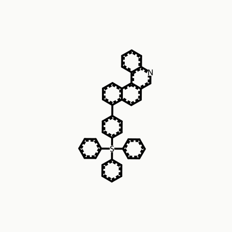 c1ccc(S(c2ccccc2)(c2ccccc2)c2ccc(-c3cccc4c3ccc3cnc5ccccc5c34)cc2)cc1